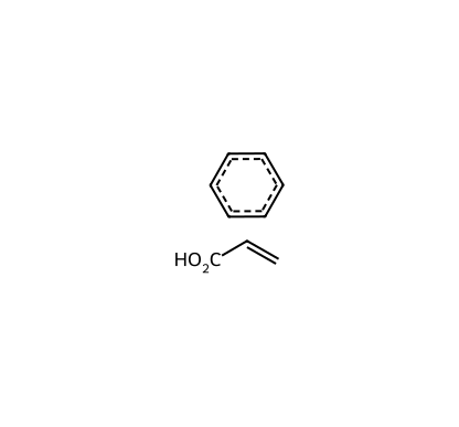 C=CC(=O)O.c1ccccc1